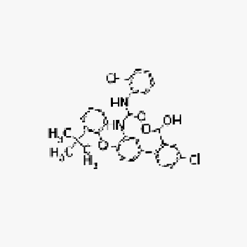 CC(C)(C)c1ccccc1Oc1ccc(-c2ccc(Cl)cc2C(=O)O)cc1NC(=O)Nc1ccccc1Cl